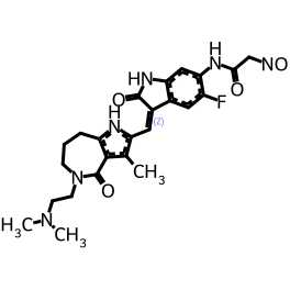 Cc1c(/C=C2\C(=O)Nc3cc(NC(=O)CN=O)c(F)cc32)[nH]c2c1C(=O)N(CCN(C)C)CCC2